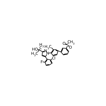 Cc1cc(-c2cccc(S(C)(=O)=O)c2)ccc1-n1nc(C(C)(C)O)cc1-c1c(F)cccc1Cl